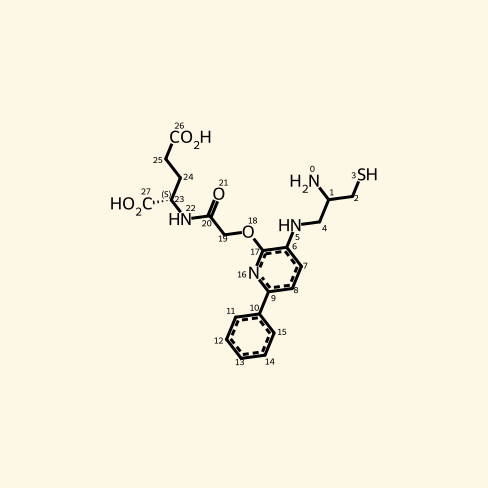 NC(CS)CNc1ccc(-c2ccccc2)nc1OCC(=O)N[C@@H](CCC(=O)O)C(=O)O